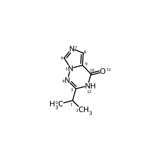 CC(C)c1nn2cncc2c(=O)[nH]1